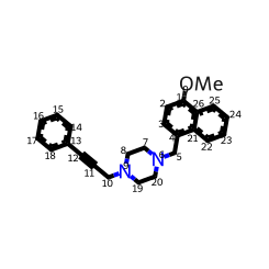 COc1ccc(CN2CCN(CC#Cc3ccccc3)CC2)c2ccccc12